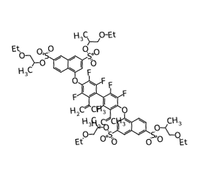 C=C(C)c1c(F)c(-c2c(F)c(F)c(Oc3cc(S(=O)(=O)OC(C)COCC)cc4cc(S(=O)(=O)OC(C)COCC)ccc34)c(F)c2C(=C)C)c(F)c(F)c1Oc1cc(S(=O)(=O)OC(C)COCC)cc2cc(S(=O)(=O)OC(C)COCC)ccc12